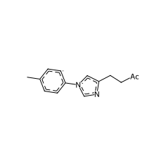 CC(=O)CCc1cn(-c2[c]cc(C)cc2)cn1